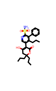 CCCc1c(C2=C(O)CC(CCC)(CCC)OC2=O)cnc(S(N)(=O)=O)c1-c1ccccc1